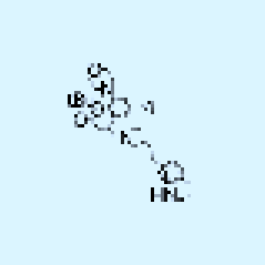 CC(C)(C)OC(=O)CC(CN1CCC(CCc2ccc3c(n2)NCCC3)C1)c1cc(C2CC2)cc(N2CCOCC2)c1